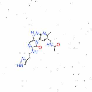 CC(=O)NCc1cc(-n2c(C)cnc(NCCc3c[nH]cn3)c2=O)c(N)nc1C